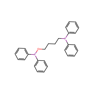 c1ccc(P(CCCCOP(c2ccccc2)c2ccccc2)c2ccccc2)cc1